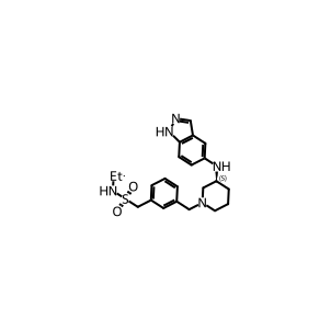 C[CH]NS(=O)(=O)Cc1cccc(CN2CCC[C@H](Nc3ccc4[nH]ncc4c3)C2)c1